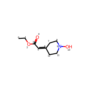 CCOC(=O)C=C1CCN(O)CC1